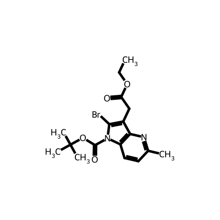 CCOC(=O)Cc1c(Br)n(C(=O)OC(C)(C)C)c2ccc(C)nc12